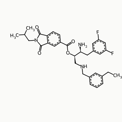 CCc1cccc(CNC[C@@H](OC(=O)c2ccc3c(c2)C(=O)N(CC(C)C)C3=O)[C@@H](N)Cc2cc(F)cc(F)c2)c1